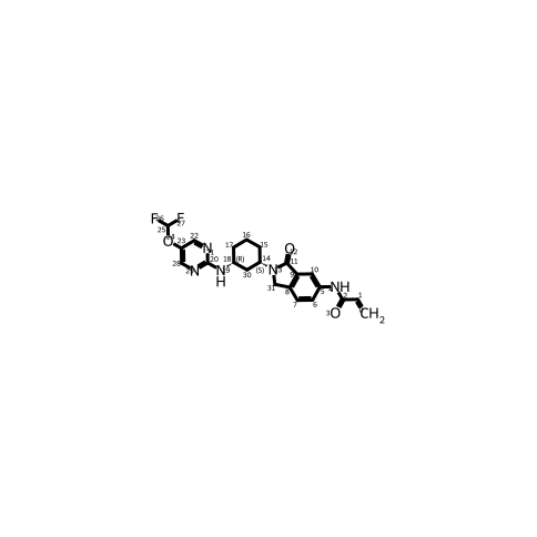 C=CC(=O)Nc1ccc2c(c1)C(=O)N([C@H]1CCC[C@@H](Nc3ncc(OC(F)F)cn3)C1)C2